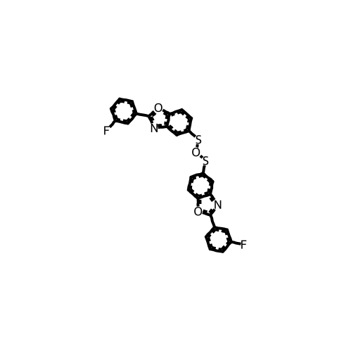 Fc1cccc(-c2nc3cc(SOSc4ccc5oc(-c6cccc(F)c6)nc5c4)ccc3o2)c1